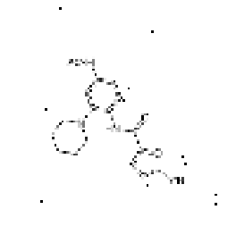 CC(=O)Nc1ccc(NC(=O)c2ccc(C#N)o2)c(N2CCCCC2)c1